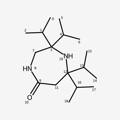 CC(C)C1(C(C)C)CNC(=O)CC(C(C)C)(C(C)C)N1